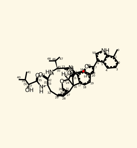 Cc1cccc2c(-c3cnc(-c4nc5oc4C46c7ccccc7N[C@H]4Oc4ccc(cc46)C[C@H](NC(=O)[C@@H](O)C(C)C)C(=O)N[C@H]5C(C)C)o3)c[nH]c12